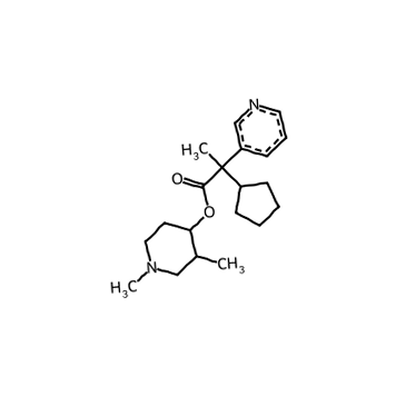 CC1CN(C)CCC1OC(=O)C(C)(c1cccnc1)C1CCCC1